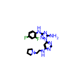 Nc1nc(Nc2ccc(F)cc2F)nn1-c1cc(NCCN2CCCC2)ncn1